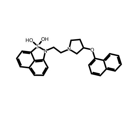 OS1(O)c2cccc3cccc(c23)N1CCN1CCC(Oc2cccc3ccccc23)C1